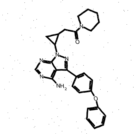 Nc1ncnc2c1c(-c1ccc(Oc3ccccc3)cc1)nn2C1CC1CC(=O)N1CCCCC1